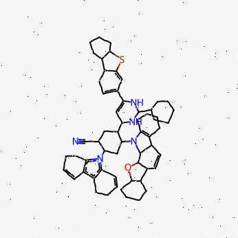 N#CC1CC(C2C=C(C3=CCC4C(=C3)SC3CCCCC34)NC(C3CCCCC3)N2)C(N2C3=C(CCCC3)C3C=CC4C5CCCCC5OC4C32)CC1n1c2c(c3c1CCC=C3)CCC=C2